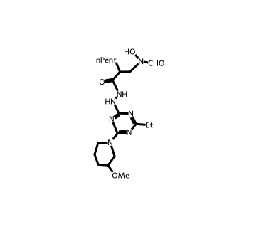 CCCCCC(CN(O)C=O)C(=O)NNc1nc(CC)nc(N2CCCC(OC)C2)n1